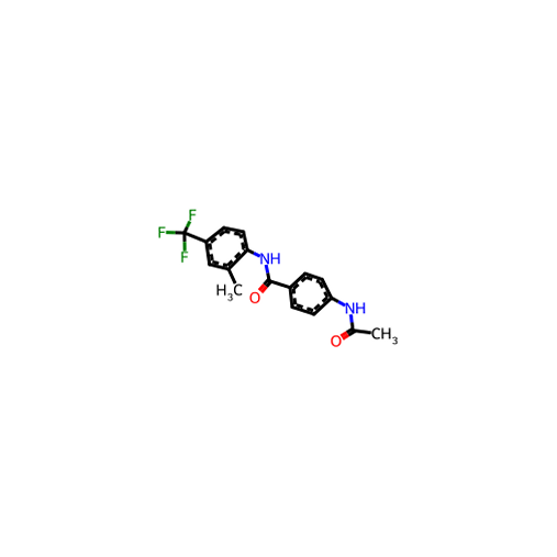 CC(=O)Nc1ccc(C(=O)Nc2ccc(C(F)(F)F)cc2C)cc1